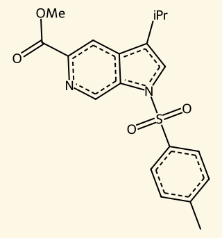 COC(=O)c1cc2c(C(C)C)cn(S(=O)(=O)c3ccc(C)cc3)c2cn1